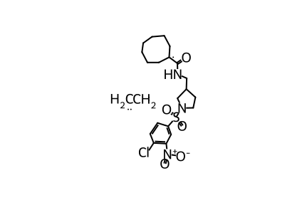 O=C(NCC1CCN(S(=O)(=O)c2ccc(Cl)c([N+](=O)[O-])c2)C1)[C]1CCCCCCC1.[CH2].[CH2]